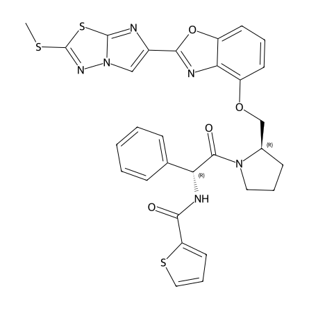 CSc1nn2cc(-c3nc4c(OC[C@H]5CCCN5C(=O)[C@H](NC(=O)c5cccs5)c5ccccc5)cccc4o3)nc2s1